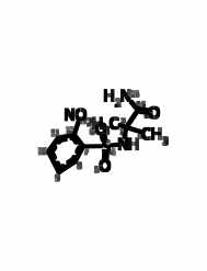 CC(C)(NS(=O)(=O)c1ccccc1[N+](=O)[O-])C(N)=O